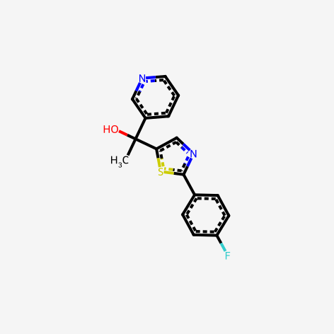 CC(O)(c1cccnc1)c1cnc(-c2ccc(F)cc2)s1